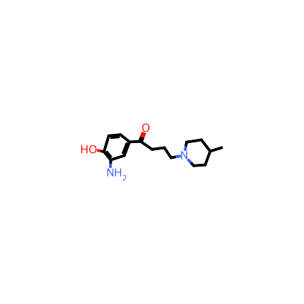 CC1CCN(CCCC(=O)c2ccc(O)c(N)c2)CC1